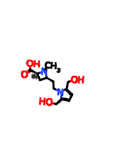 CN1C(CCn2c(CO)ccc2CO)C[C@H]1C(=O)O